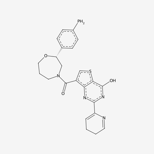 O=C(c1csc2c(O)nc(C3=CCCC=N3)nc12)N1CCCO[C@H](c2ccc(P)cc2)C1